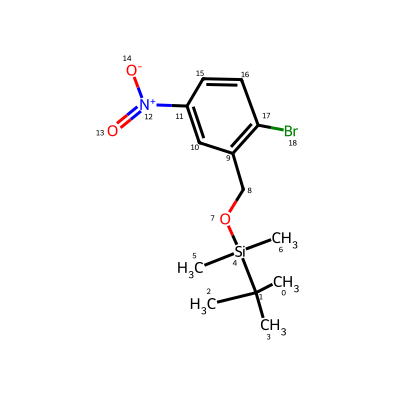 CC(C)(C)[Si](C)(C)OCc1cc([N+](=O)[O-])ccc1Br